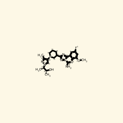 COc1cc(F)cc2c1nc(N)n1nc(C3CCCN(c4cn([C@H](C)[C@@H](C)O)nc4C)C3)nc21